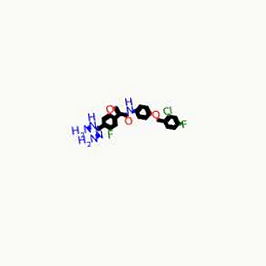 N/N=C(\NN)c1cc2occ(C(=O)Nc3ccc(OCc4ccc(F)cc4Cl)cc3)c2cc1F